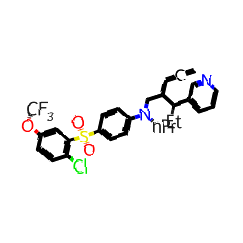 C=C=CC(CN(CCC)c1ccc(S(=O)(=O)c2cc(OC(F)(F)F)ccc2Cl)cc1)C(CC)c1cccnc1